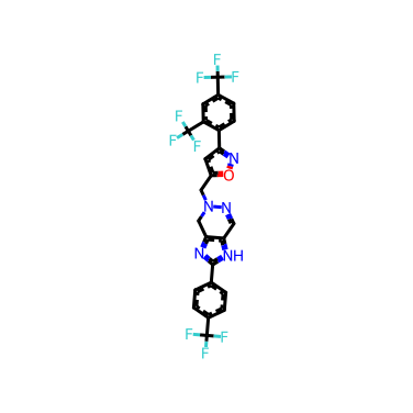 FC(F)(F)c1ccc(-c2nc3c([nH]2)C=NN(Cc2cc(-c4ccc(C(F)(F)F)cc4C(F)(F)F)no2)C3)cc1